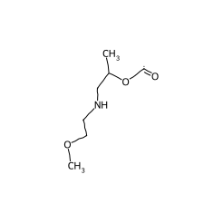 COCCNCC(C)O[C]=O